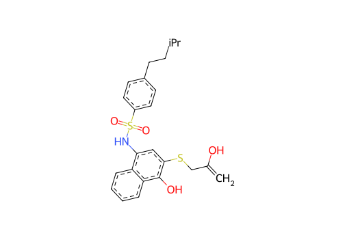 C=C(O)CSc1cc(NS(=O)(=O)c2ccc(CCC(C)C)cc2)c2ccccc2c1O